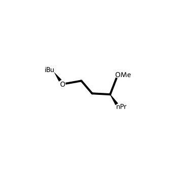 CCC[C@@H](CCO[C@H](C)CC)OC